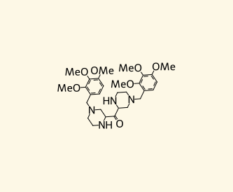 COc1ccc(CN2CCNC(C(=O)C3CN(Cc4ccc(OC)c(OC)c4OC)CCN3)C2)c(OC)c1OC